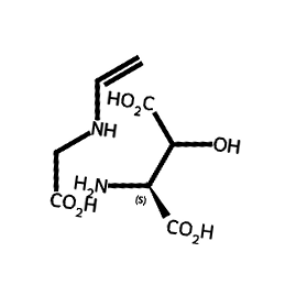 C=CNCC(=O)O.N[C@H](C(=O)O)C(O)C(=O)O